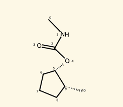 CNC(=O)O[C@H]1CCC[C@H]1C